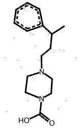 CC(CCN1CCN(C(=O)O)CC1)c1ccccc1